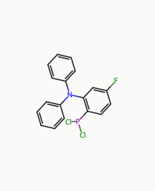 Fc1ccc(P(Cl)Cl)c(N(c2ccccc2)c2ccccc2)c1